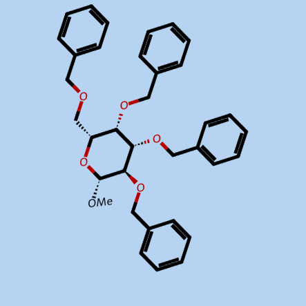 CO[C@@H]1O[C@H](COCc2ccccc2)[C@H](OCc2ccccc2)[C@H](OCc2ccccc2)[C@H]1OCc1ccccc1